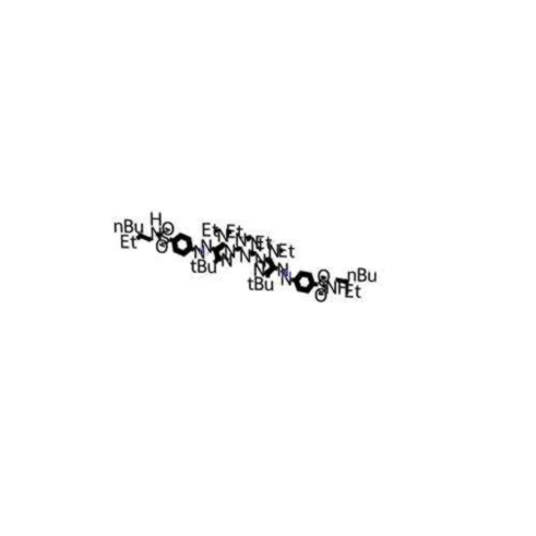 CCCCC(CC)CNS(=O)(=O)c1ccc(/N=N/c2c(C(C)(C)C)nn(-c3ncnc(-n4nc(C(C)(C)C)c(/N=N/c5ccc(S(=O)(=O)NCC(CC)CCCC)cc5)c4N(CC)CC)n3)c2N(CC)CC)cc1